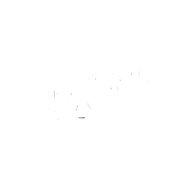 C=CC(=O)OCCC(CO)c1cccc(C(=O)O)c1C(=O)O